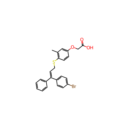 Cc1cc(OCC(=O)O)ccc1SCC=C(c1ccccc1)c1ccc(Br)cc1